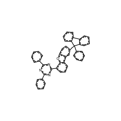 c1ccc(-c2nc(-c3ccccc3)nc(-c3cccc4c3oc3ccc(C5(c6ccccc6)c6ccccc6-c6ccccc65)cc34)n2)cc1